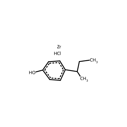 CCC(C)c1ccc(O)cc1.Cl.[Zr]